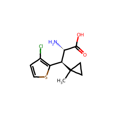 CC1([C@@H](c2sccc2Cl)[C@H](N)C(=O)O)CC1